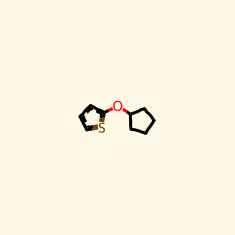 c1csc(OC2CCCC2)c1